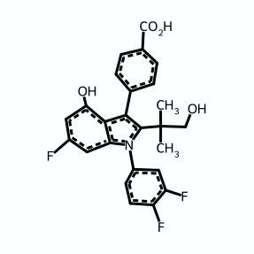 CC(C)(CO)c1c(-c2ccc(C(=O)O)cc2)c2c(O)cc(F)cc2n1-c1ccc(F)c(F)c1